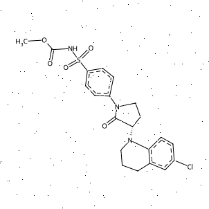 COC(=O)NS(=O)(=O)c1ccc(N2CC[C@H](N3CCCc4cc(Cl)ccc43)C2=O)cc1